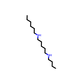 [CH2]CCCNCCCCCNCCCCCC